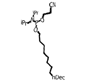 CCCCCCCCCCCCCCCCCCOP(OCCC#N)N(C(C)C)C(C)C